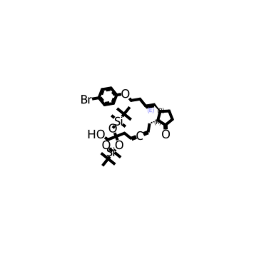 CC(C)(C)[Si](C)(C)OC(CC=C=CC[C@H]1C(=O)CC[C@@H]1/C=C/CCOc1ccc(Br)cc1)(O[Si](C)(C)C(C)(C)C)C(=O)O